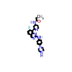 C=CC(=O)Nc1ccnc(-c2c(F)ccc3cnc(Nc4ccc(N5CCNCC5)cc4)nc23)c1